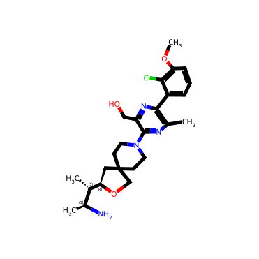 COc1cccc(-c2nc(CO)c(N3CCC4(CC3)CO[C@@H]([C@@H](C)[C@H](C)N)C4)nc2C)c1Cl